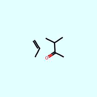 C=CC.CC(=O)C(C)C